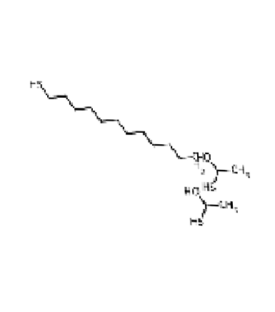 CC(O)S.CC(O)S.CCCCCCCCCCCCS